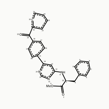 COC(=O)[C@H](Cc1ccccc1)Nc1cc(-c2ccc(C(=O)c3ccccc3)cc2)ncn1